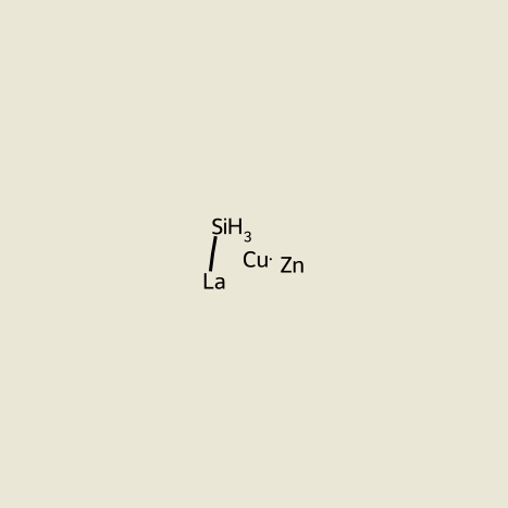 [Cu].[SiH3][La].[Zn]